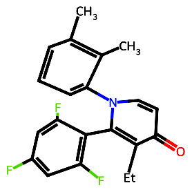 CCc1c(-c2c(F)cc(F)cc2F)n(-c2cccc(C)c2C)ccc1=O